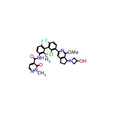 COc1nc(-c2ccc(F)c(-c3c(F)ccc(NC(=O)c4ccnn(C)c4=O)c3C)c2Cl)cc2c1C(N1CC(O)C1)CC2